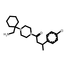 CC(CC(=O)N1CCN(C2(CN)CCCCC2)CC1)c1ccc(Cl)cc1